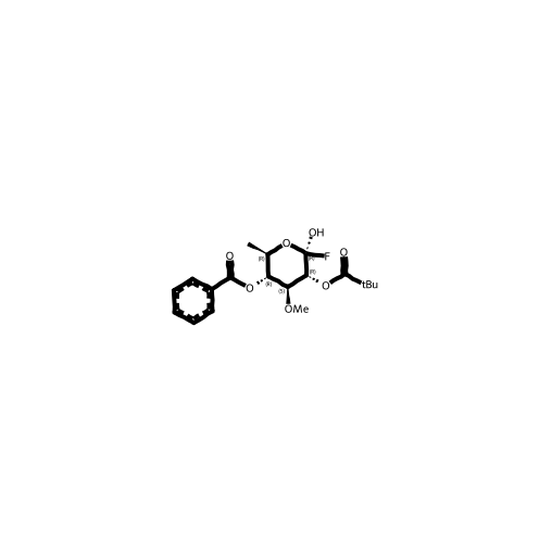 CO[C@H]1[C@H](OC(=O)c2ccccc2)[C@@H](C)O[C@@](O)(F)[C@@H]1OC(=O)C(C)(C)C